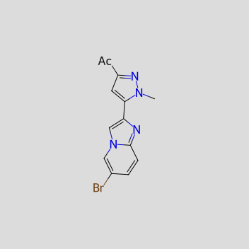 CC(=O)c1cc(-c2cn3cc(Br)ccc3n2)n(C)n1